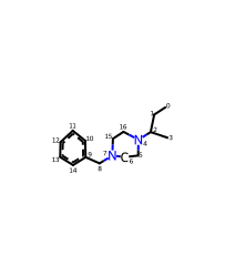 CCC(C)N1CCN(Cc2ccccc2)CC1